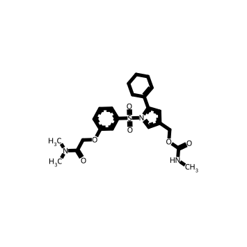 CNC(=O)OCc1cc(C2=CCCCC2)n(S(=O)(=O)c2cccc(OCC(=O)N(C)C)c2)c1